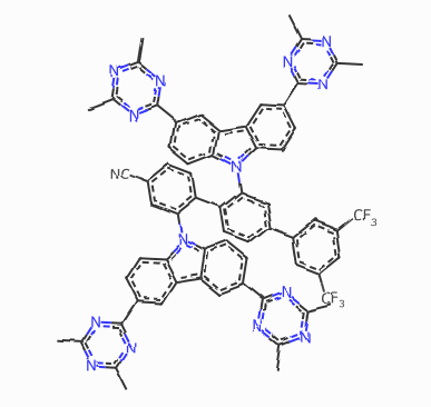 Cc1nc(C)nc(-c2ccc3c(c2)c2cc(-c4nc(C)nc(C)n4)ccc2n3-c2cc(C#N)ccc2-c2ccc(-c3cc(C(F)(F)F)cc(C(F)(F)F)c3)cc2-n2c3ccc(-c4nc(C)nc(C)n4)cc3c3cc(-c4nc(C)nc(C)n4)ccc32)n1